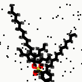 CCCCCCCCCCCCc1ccccc1S(=O)(=O)OC(CCCC)(CCCC)C(CCCC)CCCCCCCCCCCC